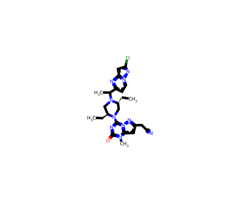 CC[C@H]1CN(C(C)c2ccn3nc(Cl)cc3n2)[C@H](CC)CN1c1nc(=O)n(C)c2cc(CC#N)nn12